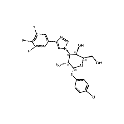 OC[C@H]1O[C@H](Sc2ccc(Cl)cc2)[C@H](O)[C@@H](n2cc(-c3cc(F)c(F)c(F)c3)nn2)[C@H]1O